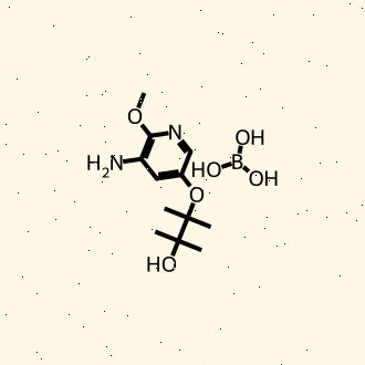 COc1ncc(OC(C)(C)C(C)(C)O)cc1N.OB(O)O